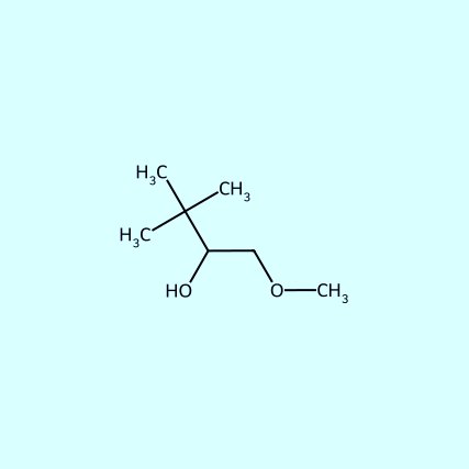 COCC(O)C(C)(C)C